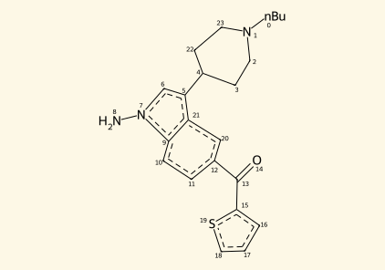 CCCCN1CCC(c2cn(N)c3ccc(C(=O)c4cccs4)cc23)CC1